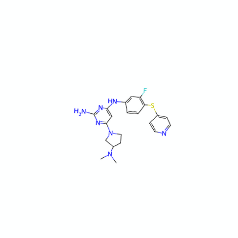 CN(C)C1CCN(c2cc(Nc3ccc(Sc4ccncc4)c(F)c3)nc(N)n2)C1